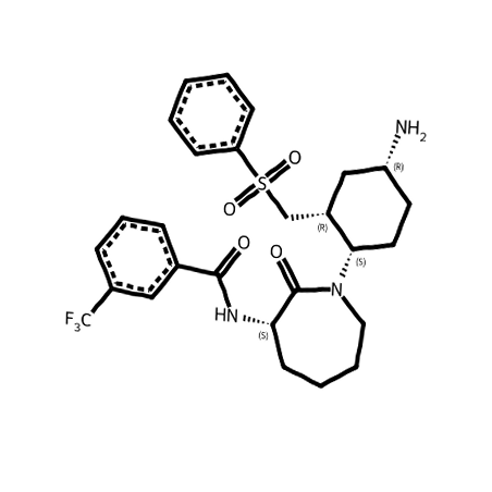 N[C@@H]1CC[C@H](N2CCCC[C@H](NC(=O)c3cccc(C(F)(F)F)c3)C2=O)[C@H](CS(=O)(=O)c2ccccc2)C1